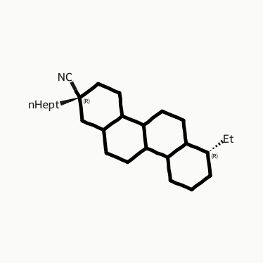 CCCCCCC[C@@]1(C#N)CCC2C(CCC3C2CCC2C3CCC[C@H]2CC)C1